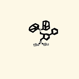 CC(C)(C)P(Cc1ccc(-c2ccccc2)cc1CP(C1C2CC3CC(C2)CC1C3)C1C2CC3CC(C2)CC1C3)C(C)(C)C